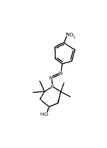 CC1(C)CC(O)CC(C)(C)N1N=Nc1ccc([N+](=O)[O-])cc1